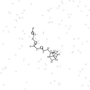 COCCOC(C)COCCC1=CCC2CC1C2(C)C